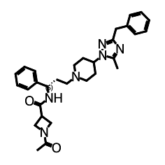 CC(=O)N1CC(C(=O)N[C@@H](CCN2CCC(n3nc(Cc4ccccc4)nc3C)CC2)c2ccccc2)C1